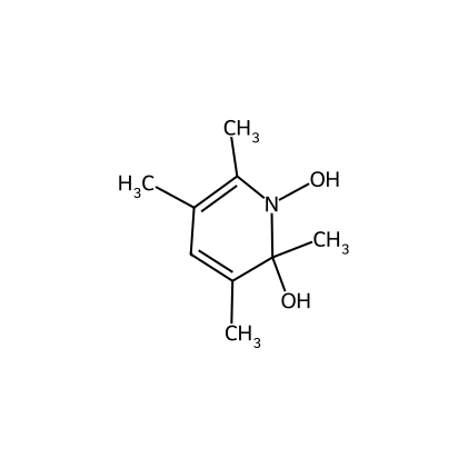 CC1=CC(C)=C(C)N(O)C1(C)O